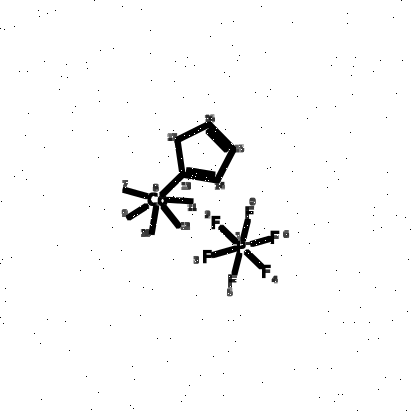 F[P-](F)(F)(F)(F)F.[CH3][Co]([CH3])([CH3])([CH3])([CH3])[C]1=CC=CC1